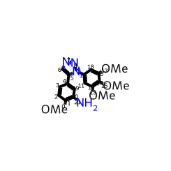 COc1ccc(-c2cnnn2-c2cc(OC)c(OC)c(OC)c2)cc1N